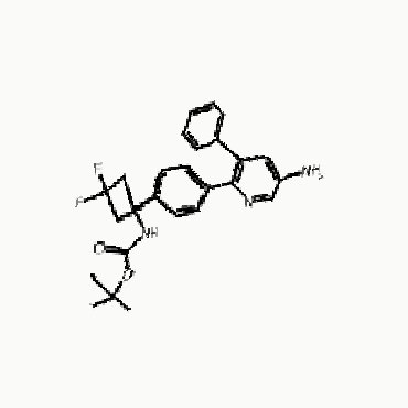 CC(C)(C)OC(=O)NC1(c2ccc(-c3ncc(N)cc3-c3ccccc3)cc2)CC(F)(F)C1